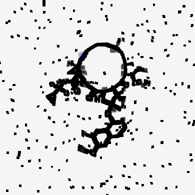 CCOc1cc2ccnc(O[C@]3(C)C[C@H]4C(=O)N[C@]5(C(=O)NS(=O)(=O)C6CC6)C[C@H]5/C=C\CC[C@H](C)C[C@@H](C)[C@H](N(C(=O)O)C(C)CC)C(=O)N4C3(F)F)c2cc1F